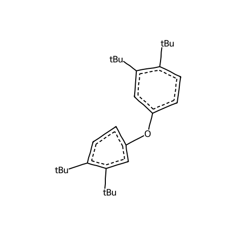 CC(C)(C)c1ccc(Oc2ccc(C(C)(C)C)c(C(C)(C)C)c2)cc1C(C)(C)C